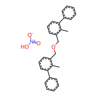 Cc1c(COCc2cccc(-c3ccccc3)c2C)cccc1-c1ccccc1.O=[N+]([O-])O